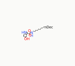 CCCCCCCCCCCCCCCCCCCNC(=O)C(=O)c1c[nH]c2ccc(O)cc12